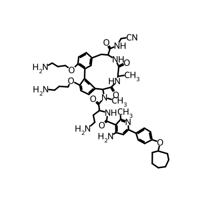 Cc1nc(-c2ccc(OC3CCCCCC3)cc2)cc(N)c1C(=O)NC(CCN)C(=O)N(C)C1C(=O)NC(C)C(=O)NC(C(=O)NCC#N)Cc2ccc(OCCCN)c(c2)-c2cc1ccc2OCCCN